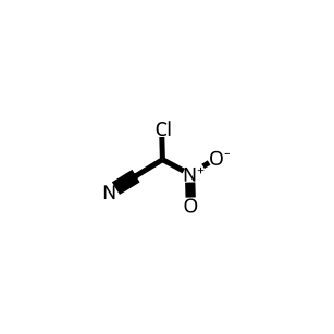 N#CC(Cl)[N+](=O)[O-]